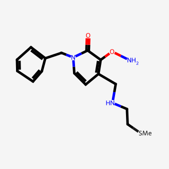 CSCCNCc1ccn(Cc2ccccc2)c(=O)c1ON